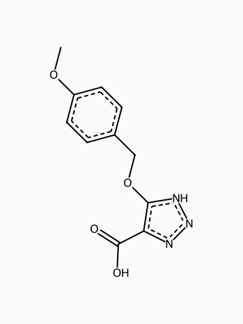 COc1ccc(COc2[nH]nnc2C(=O)O)cc1